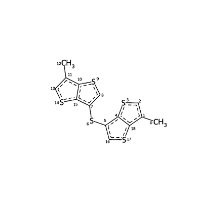 Cc1csc2c(Sc3csc4c(C)csc34)csc12